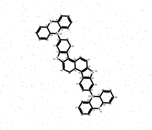 C1=CC2Sc3ccccc3N(C3=Cc4sc5c(c4CC3)=C3C=Cc4sc6cc(N7c8ccccc8SC8C=CC=CC87)ccc6c4C3CC=5)C2C=C1